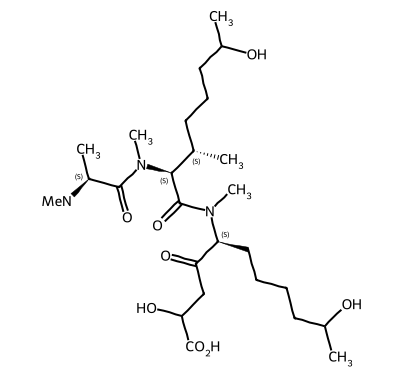 CN[C@@H](C)C(=O)N(C)[C@H](C(=O)N(C)[C@@H](CCCCC(C)O)C(=O)CC(O)C(=O)O)[C@@H](C)CCCC(C)O